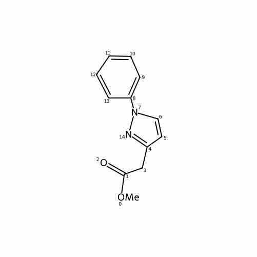 COC(=O)Cc1ccn(-c2ccccc2)n1